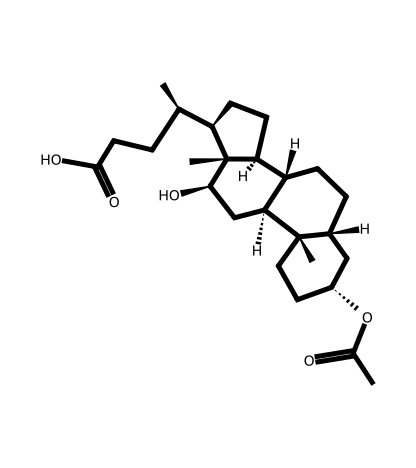 CC(=O)O[C@@H]1CC[C@@]2(C)[C@H](CC[C@@H]3[C@@H]2C[C@@H](O)[C@]2(C)[C@@H]([C@H](C)CCC(=O)O)CC[C@@H]32)C1